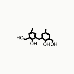 Cc1cc(CO)c(O)c(Cc2cc(C)cc(CO)c2O)c1